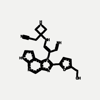 N#CCC1(N/C=C(\C=N)n2c(-c3ccc(CO)o3)nc3cnc4[nH]ccc4c32)CNC1